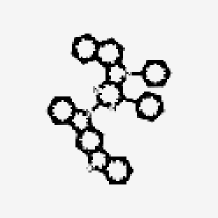 c1ccc(-c2nc(-n3c4ccccc4c4cc5oc6ccccc6c5cc43)nc3c4c5ccccc5ccc4n(-c4ccccc4)c23)cc1